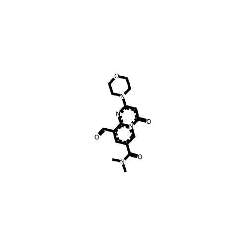 CN(C)C(=O)c1cc(C=O)c2nc(N3CCOCC3)cc(=O)n2c1